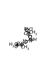 C[C@@H]1[C@@H](CS(C)(=O)=O)CN1c1ccc(-c2n[nH]c3ccc(O[C@H](C)c4c(Cl)cncc4Cl)cc23)cn1